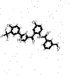 O=C(Nc1ccc(Cl)cc1C(=O)c1c[nH]c(-c2ccc(Cl)c(C(F)(F)F)c2)n1)c1cccc(CCl)c1